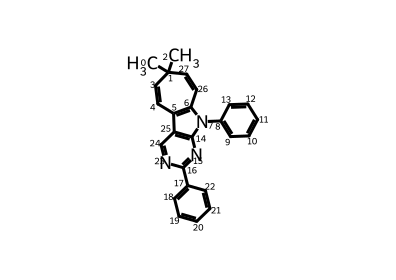 CC1(C)C=Cc2c(n(-c3ccccc3)c3nc(-c4ccccc4)ncc23)C=C1